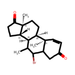 CC1C(Br)C2CC(=O)C=C[C@]2(C)[C@@H]2CC[C@]3(C)C(=O)CC[C@H]3[C@H]12